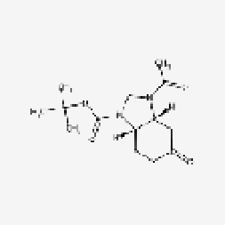 CC(=O)N1CN(C(=O)OC(C)(C)C)[C@H]2CCC(=O)C[C@H]21